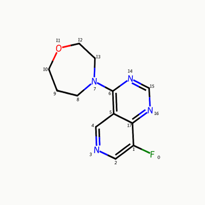 Fc1cncc2c(N3CCCOCC3)ncnc12